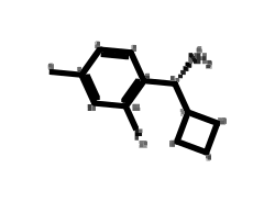 Cc1ccc([C@H](N)C2CCC2)c(F)c1